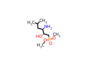 COP(=O)(C[C@H](O)[C@H](N)CC(C)C)OC